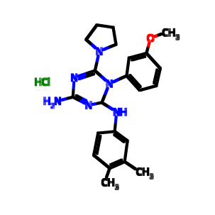 COc1cccc(N2C(N3CCCC3)=NC(N)=NC2Nc2ccc(C)c(C)c2)c1.Cl